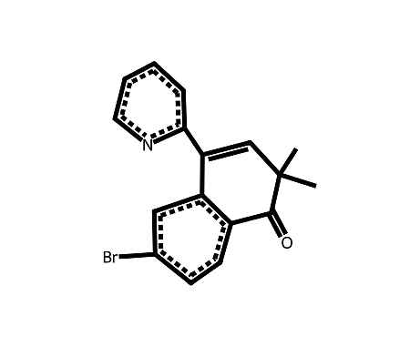 CC1(C)C=C(c2ccccn2)c2cc(Br)ccc2C1=O